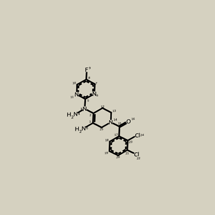 NC1=C(N(N)c2ncc(F)cn2)CCN(C(=O)c2cccc(Cl)c2Cl)C1